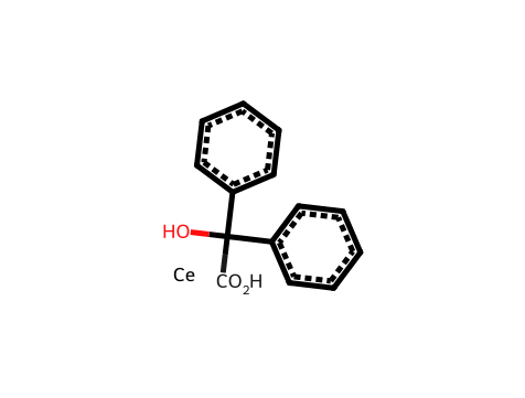 O=C(O)C(O)(c1ccccc1)c1ccccc1.[Ce]